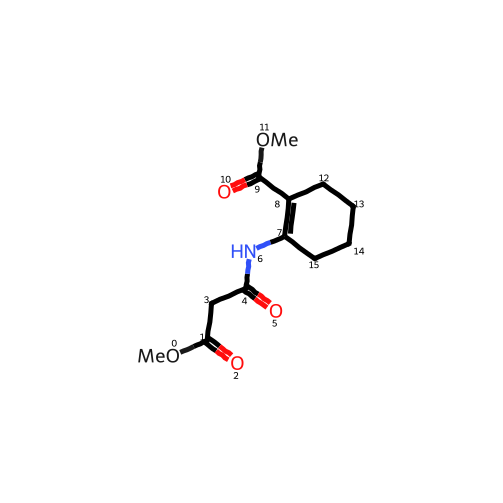 COC(=O)CC(=O)NC1=C(C(=O)OC)CCCC1